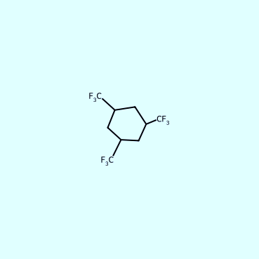 FC(F)(F)C1CC(C(F)(F)F)CC(C(F)(F)F)C1